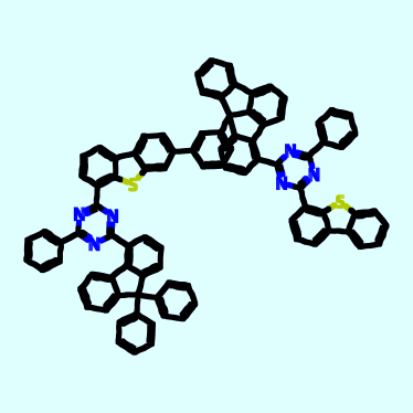 c1ccc(-c2nc(-c3cccc4c3-c3ccccc3C4(c3ccccc3)c3ccccc3)nc(-c3cccc4c3sc3cc(-c5cccc(C67c8ccccc8-c8cccc(c86)-c6c(-c8nc(-c9ccccc9)nc(-c9cccc%10c9sc9ccccc9%10)n8)cccc67)c5)ccc34)n2)cc1